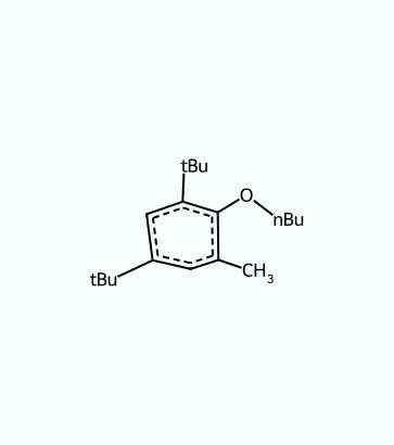 CCCCOc1c(C)cc(C(C)(C)C)cc1C(C)(C)C